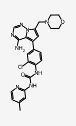 Cc1ccnc(NC(=O)Nc2ccc(-c3cc(CN4CCOCC4)n4ncnc(N)c34)cc2Cl)c1